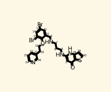 O=c1cc(NCCCNCc2cc(Br)cc(Br)c2OCCc2cccnc2)[nH]c2ccsc12